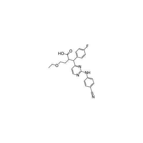 CCOCCC(C(=O)O)C(c1ccc(F)cc1)c1ccnc(Nc2ccc(C#N)cc2)n1